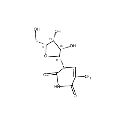 O=c1[nH]c(=O)n([C@@H]2O[C@H](CO)[C@H](O)[C@@H]2O)cc1C(F)(F)F